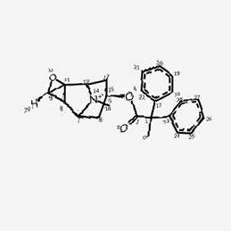 CC(C(=O)O[C@H]1CC2C3[C@@H]4OC34C(C1)[N+]2(C)C)(c1ccccc1)c1ccccc1